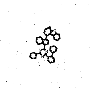 c1ccc(-c2nc(-c3ccccc3-c3ccccc3)nc(-c3ccc(-c4cccc5oc6ccccc6c45)c4ccccc34)n2)cc1